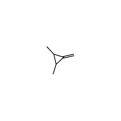 C=C1C(C)C1C